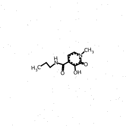 CCCNC(=O)c1ccn(C)c(=O)c1O